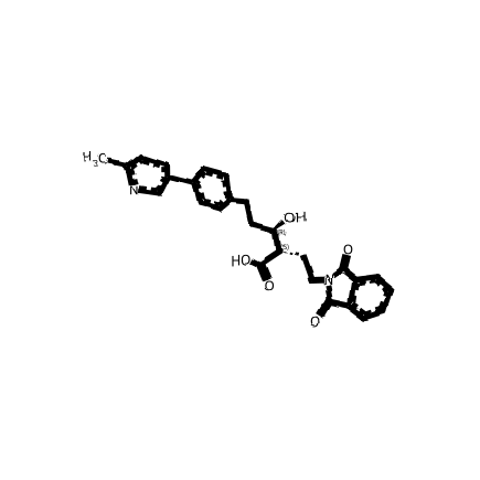 Cc1ccc(-c2ccc(CC[C@@H](O)[C@H](CCN3C(=O)c4ccccc4C3=O)C(=O)O)cc2)cn1